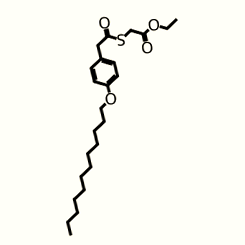 CCCCCCCCCCCCOc1ccc(CC(=O)SCC(=O)OCC)cc1